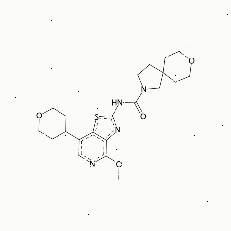 COc1ncc(C2CCOCC2)c2sc(NC(=O)N3CCC4(CCOCC4)C3)nc12